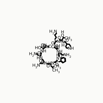 CC(C)C[C@@H]1NC(=O)[C@@H](Cc2ccccc2)NC(=O)[C@H](CCN)NC(=O)[C@@H](NC(=O)[C@H](CCCCN)NC(=O)[C@@H](NC(=O)C2CCNCC2)C(C)O)CCNC(=O)[C@H](C(C)O)NC(=O)[C@H](CCN)NC(=O)[C@H](CCN)NC1=O